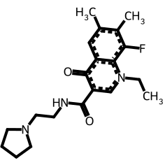 CCn1cc(C(=O)NCCN2CCCC2)c(=O)c2cc(C)c(C)c(F)c21